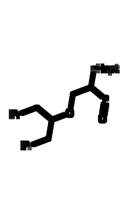 CCCCCCCC(COC(CC(C)C)CC(C)C)P=O